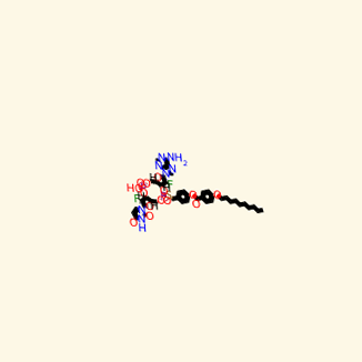 CCCCCCCCCCOc1ccc(C(=O)Oc2ccc(CSP3(=O)OC[C@H]4O[C@@H](n5ccc(=O)[nH]c5=O)[C@H](F)[C@@H]4OP(=O)(O)OC[C@H]4O[C@@H](n5cnc6c(N)ncnc65)[C@H](F)[C@@H]4O3)cc2)cc1